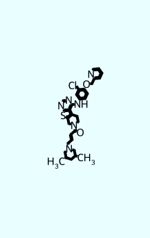 CC1CC(C)CN(C/C=C/C(=O)N2CCc3c(sc4ncnc(Nc5ccc(OCc6ccccn6)c(Cl)c5)c34)C2)C1